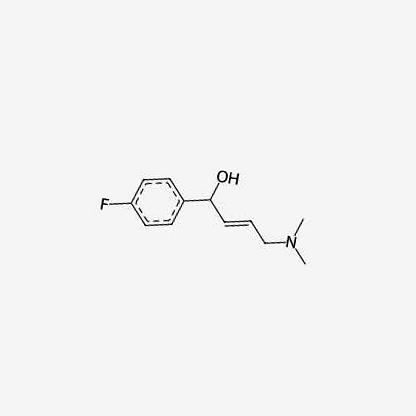 CN(C)CC=CC(O)c1ccc(F)cc1